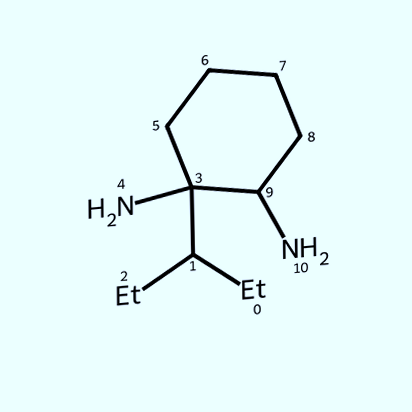 CCC(CC)C1(N)CCCCC1N